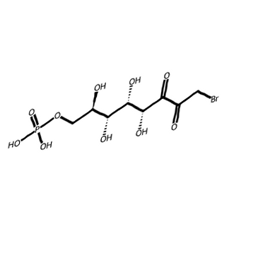 O=C(CBr)C(=O)[C@H](O)[C@@H](O)[C@H](O)[C@H](O)COP(=O)(O)O